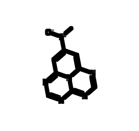 C[S+]([O-])C1=CC2=NC=NC3=NC=NC(=C1)N23